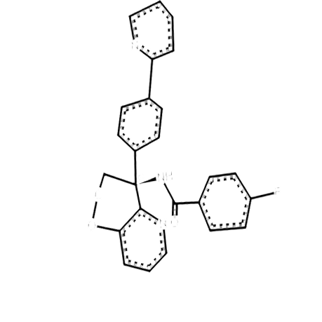 O=C(N[C@]1(c2ccc(-c3ccccn3)cc2)CCOc2cccnc21)c1ccc(F)cc1